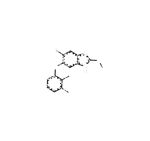 CSc1nc2cc(Cl)c(Oc3cccc(C)c3C)cc2[nH]1